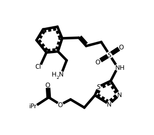 CC(C)C(=O)OCCc1nnc(NS(=O)(=O)CC=Cc2cccc(Cl)c2CN)s1